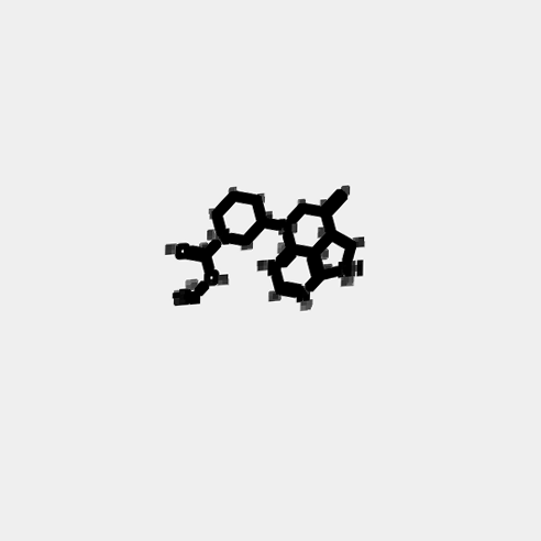 C=C1CN(C2CCCN(C(=O)OC(C)(C)C)C2)c2ncnc3c2C1CN3